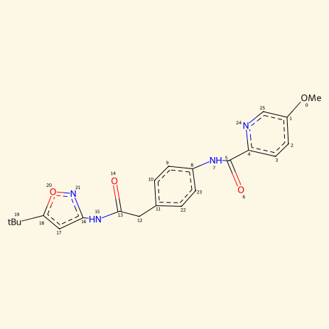 COc1ccc(C(=O)Nc2ccc(CC(=O)Nc3cc(C(C)(C)C)on3)cc2)nc1